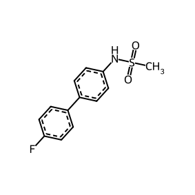 CS(=O)(=O)Nc1ccc(-c2ccc(F)cc2)cc1